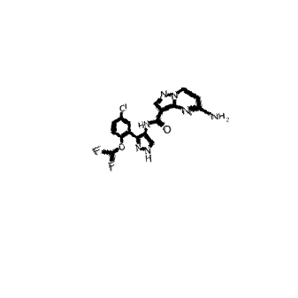 Nc1ccn2ncc(C(=O)Nc3c[nH]nc3-c3cc(Cl)ccc3OC(F)F)c2n1